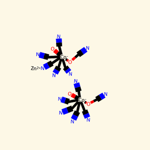 N#C[O][Co-](=[O])([C]#N)([C]#N)([C]#N)([C]#N)[C]#N.N#C[O][Co-](=[O])([C]#N)([C]#N)([C]#N)([C]#N)[C]#N.[Zn+2]